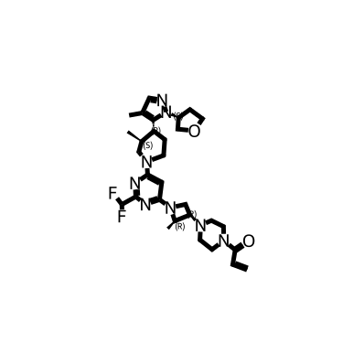 C=CC(=O)N1CCN([C@@H]2CN(c3cc(N4CC[C@@H](c5c(C)cnn5[C@H]5CCOC5)[C@H](C)C4)nc(C(F)F)n3)[C@@H]2C)CC1